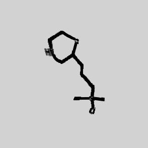 C[Si](C)(Cl)CCCC1CNCCO1